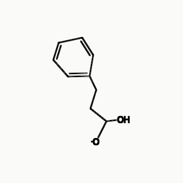 [O]C(O)CCc1ccccc1